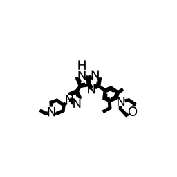 CCc1cc(-c2cnc3[nH]cc(-c4cnn(C5CCN(CC)CC5)c4)c3n2)cc(C)c1N1CCOCC1